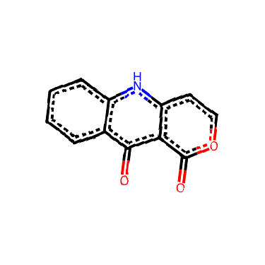 O=c1occc2[nH]c3ccccc3c(=O)c12